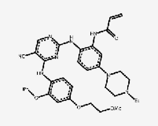 C=CC(=O)Nc1cc(N2CCN(CC)CC2)ccc1Nc1ncc(C#N)c(Nc2ccc(OCCOC)cc2OC(C)C)n1